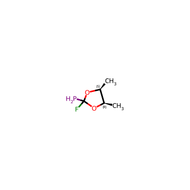 C[C@@H]1OC(F)(P)O[C@@H]1C